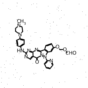 CN1CCN(c2ccc(Nc3ncc4c(=O)n5c(nc4n3)c3ccc(OCOC=O)cc3n5-c3ccccn3)cc2)CC1